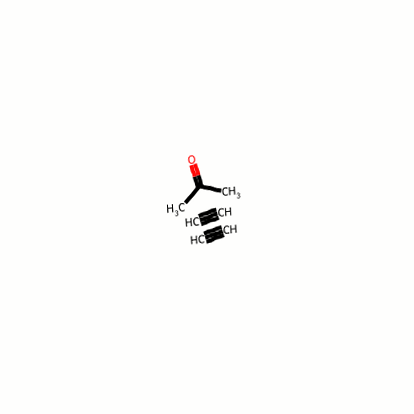 C#C.C#C.CC(C)=O